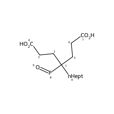 CCCCCCCC(CCC(=O)O)(CCC(=O)O)P=O